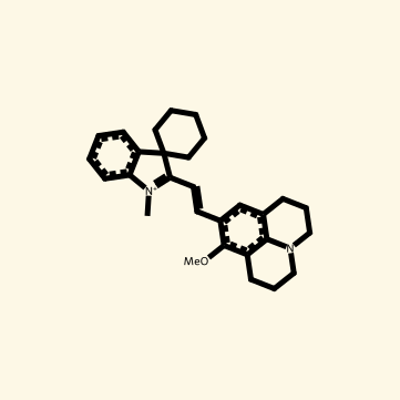 COc1c(/C=C/C2=[N+](C)c3ccccc3C23CCCCC3)cc2c3c1CCCN3CCC2